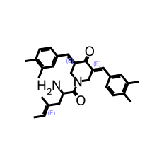 C/C=C(\C)CC(N)C(=O)N1C/C(=C\c2ccc(C)c(C)c2)C(=O)/C(=C/c2ccc(C)c(C)c2)C1